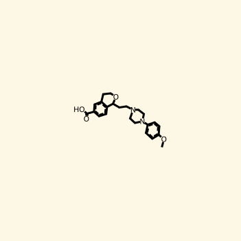 COc1ccc(N2CCN(CCC3OCCc4cc(C(=O)O)ccc43)CC2)cc1